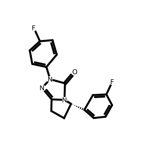 O=c1n(-c2ccc(F)cc2)nc2n1[C@H](c1cccc(F)c1)CC2